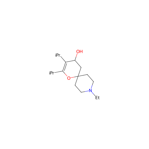 CCN1CCC2(CC1)CC(O)C(C(C)C)=C(C(C)C)O2